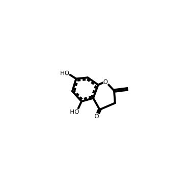 C=C1CC(=O)c2c(O)cc(O)cc2O1